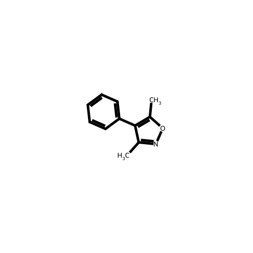 Cc1noc(C)c1-c1c[c]ccc1